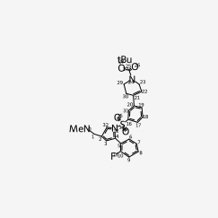 CNCc1cc(-c2ccccc2F)n(S(=O)(=O)c2cccc(C3=CCN(C(=O)OC(C)(C)C)CC3)c2)c1